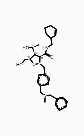 C[C@H](O)[C@@H]1[C@H](CO)ON(Cc2ccc(CN(C)Cc3ccccc3)cc2)[C@@H]1C(=O)NCC1C=CCCC1